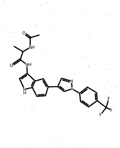 CC(=O)NC(C)C(=O)Nc1c[nH]c2ccc(-c3cnn(-c4ccc(C(F)(F)F)cc4)c3)cc12